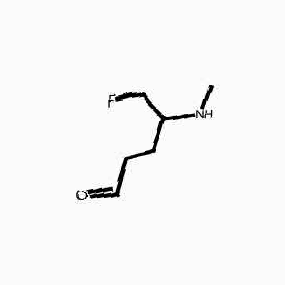 CNC(CF)CCC=O